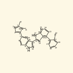 Cc1ncc(-c2ccc3[nH]nc(-c4nc5c(-c6ccccc6F)ccnc5[nH]4)c3n2)n1C